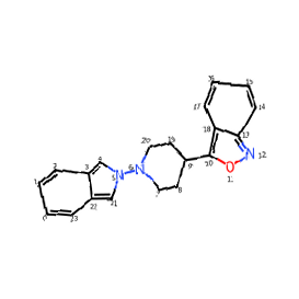 c1ccc2cn(N3CCC(c4onc5ccccc45)CC3)cc2c1